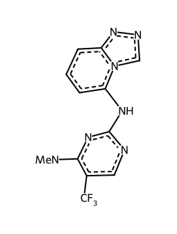 CNc1nc(Nc2cccc3nncn23)ncc1C(F)(F)F